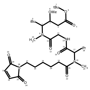 CCC(C)C(C(CC(=O)OC(C)(C)C)OC)N(C)C(=O)CNC(=O)C(C(C)C)N(C)C(=O)CCCCCN1C(=O)C=CC1=O